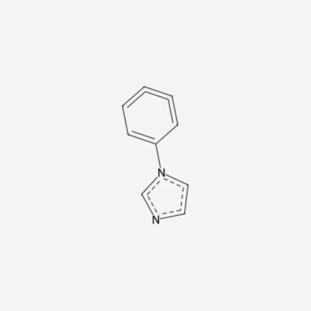 C1=C=CC(n2ccnc2)=CC=1